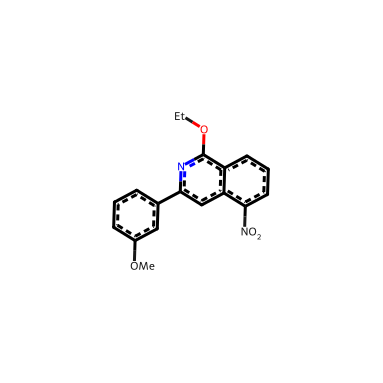 CCOc1nc(-c2cccc(OC)c2)cc2c([N+](=O)[O-])cccc12